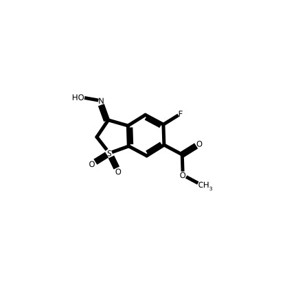 COC(=O)c1cc2c(cc1F)C(=NO)CS2(=O)=O